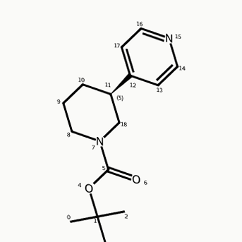 CC(C)(C)OC(=O)N1CCC[C@@H](c2ccncc2)C1